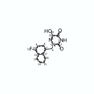 O=c1[nH]c(=O)n(Cc2ccc(F)c3ccccc23)nc1O